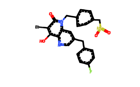 [CH2]Cc1c(O)c2ncc(Cc3ccc(F)cc3)cc2n(Cc2ccc(C[SH](=O)=O)cc2)c1=O